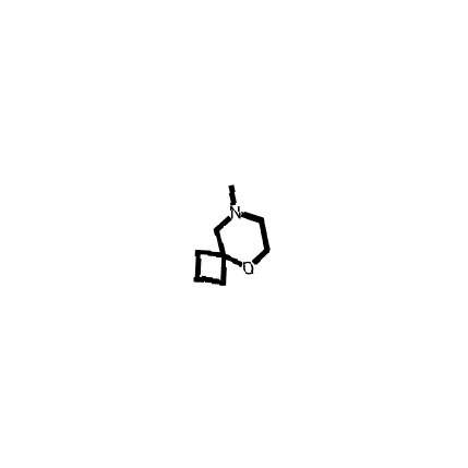 CN1CCOC2(CCC2)C1